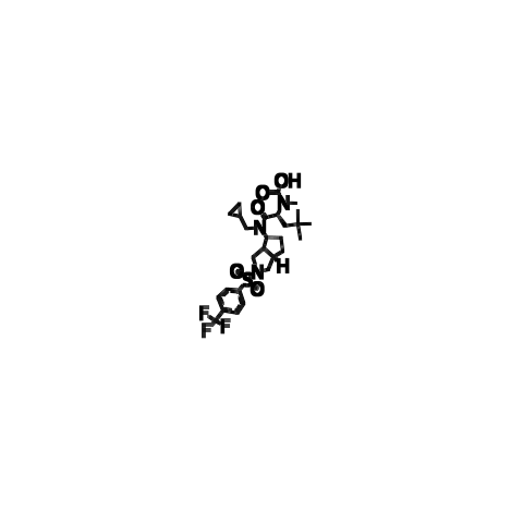 CN(C(=O)O)[C@@H](CC(C)(C)C)C(=O)N(CC1CC1)C1CC[C@@H]2CN(S(=O)(=O)c3ccc(C(F)(F)F)cc3)CC12